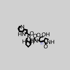 O=C1NCC/C1=C\[C@H](NC(=O)[C@@H]1[C@H]2CCC[C@H]2CN1C(=O)c1cc2ncccc2[nH]1)C(=O)CO